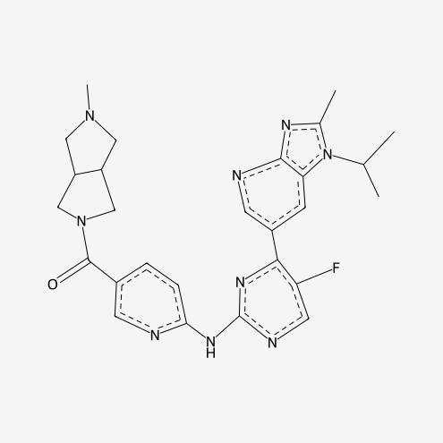 Cc1nc2ncc(-c3nc(Nc4ccc(C(=O)N5CC6CN(C)CC6C5)cn4)ncc3F)cc2n1C(C)C